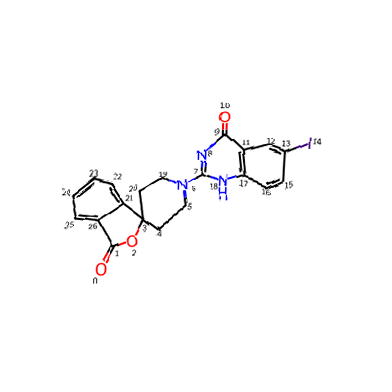 O=C1OC2(CCN(c3nc(=O)c4cc(I)ccc4[nH]3)CC2)c2ccccc21